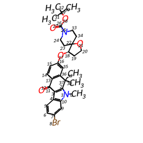 Cn1c2c(c3ccc(Br)cc31)C(=O)c1ccc(O[C@@H]3CCOC34CCN(C(=O)OC(C)(C)C)CC4)cc1C2(C)C